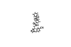 N#Cc1ccc(Cn2cncc2CCNC(=O)[C@H]2CCCN(S(=O)(=O)c3ccccc3)C2)cc1